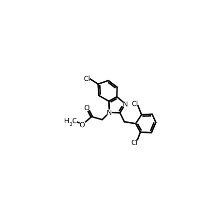 COC(=O)Cn1c(Cc2c(Cl)cccc2Cl)nc2ccc(Cl)cc21